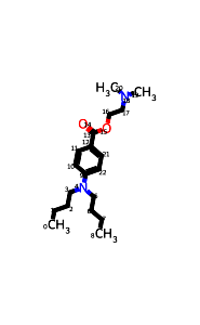 CCCCN(CCCC)c1ccc(C(=O)OCCN(C)C)cc1